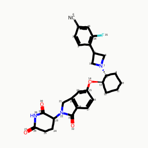 N#Cc1ccc(C2CN([C@@H]3CCCC[C@H]3Oc3ccc4c(c3)CN(C3CCC(=O)NC3=O)C4=O)C2)c(F)c1